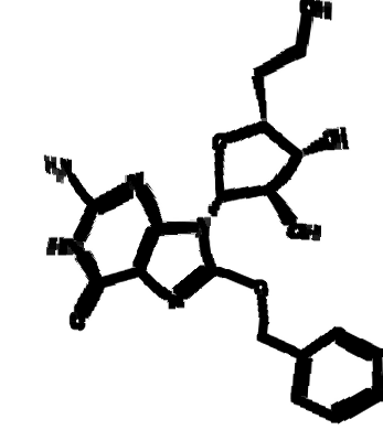 Nc1nc2c(nc(OCc3ccccc3)n2[C@@H]2O[C@H](CCO)[C@H](O)[C@H]2O)c(=O)[nH]1